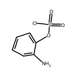 Nc1ccccc1OS(=O)(=O)Cl